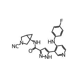 N#CN1CC2C[C@]2(NC(=O)c2cc(-c3cnccc3Nc3ccc(F)cc3)[nH]n2)C1